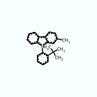 Cc1ccc2c3ccccc3n(-c3ccccc3C(C)(C)C)c2c1